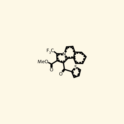 COC(=O)c1c(C(=O)c2cccs2)c2c3ccccc3ccn2c1C(F)(F)F